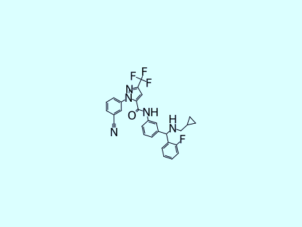 N#Cc1cccc(-n2nc(C(F)(F)F)cc2C(=O)Nc2cccc(C(NCC3CC3)c3ccccc3F)c2)c1